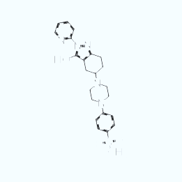 CS(=O)(=O)c1ccc(N2CCN(C3CCc4nn(-c5ccccn5)c(O)c4C3)CC2)cc1